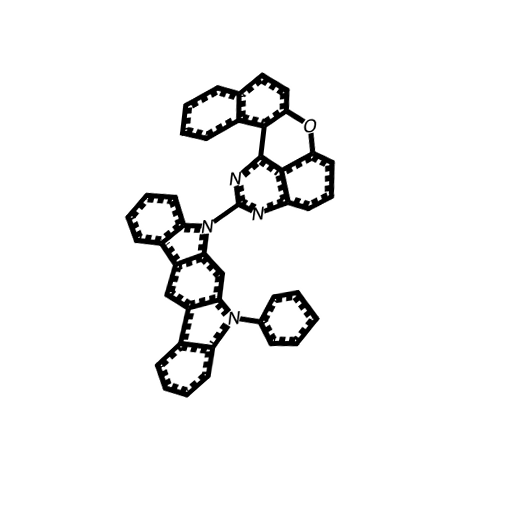 c1ccc(-n2c3ccccc3c3cc4c5ccccc5n(-c5nc6c7c(cccc7n5)Oc5ccc7ccccc7c5-6)c4cc32)cc1